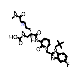 CN(C)C(=O)/C=C/CC[C@@H](CN(C)C(=O)O)C(=O)Nc1cccn(Cc2nc3cc(F)ccc3n2CC(C)(C)C)c1=O